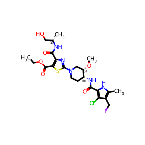 CCOC(=O)c1sc(N2CC[C@@H](NC(=O)c3[nH]c(C)c(CI)c3Cl)[C@@H](OC)C2)nc1C(=O)N[C@@H](C)CO